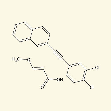 COC=CC(=O)O.Clc1ccc(C#Cc2ccc3ccccc3c2)cc1Cl